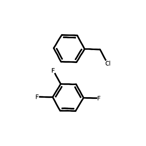 ClCc1ccccc1.Fc1ccc(F)c(F)c1